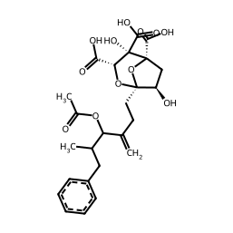 C=C(CC[C@@]12O[C@H](C(=O)O)[C@@](O)(C(=O)O)[C@@](C(=O)O)(C[C@H]1O)O2)C(OC(C)=O)C(C)Cc1ccccc1